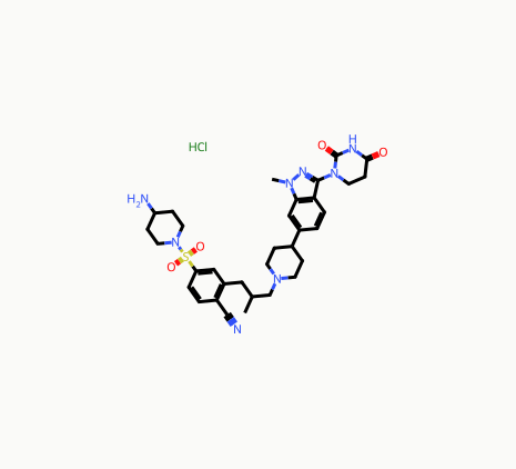 CC(Cc1cc(S(=O)(=O)N2CCC(N)CC2)ccc1C#N)CN1CCC(c2ccc3c(N4CCC(=O)NC4=O)nn(C)c3c2)CC1.Cl